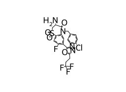 N[C@H]1CS(=O)(=O)c2cc(F)c(-c3nnc(CCC(F)(F)F)o3)cc2N(Cc2ccc(Cl)cc2)C1=O